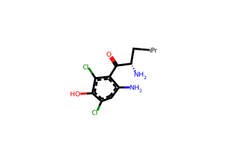 CC(C)C[C@H](N)C(=O)c1c(N)cc(Cl)c(O)c1Cl